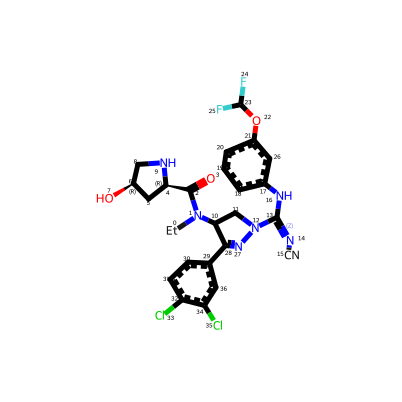 CCN(C(=O)[C@H]1C[C@@H](O)CN1)C1CN(/C(=N\C#N)Nc2cccc(OC(F)F)c2)N=C1c1ccc(Cl)c(Cl)c1